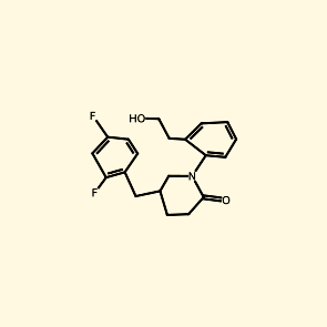 O=C1CCC(Cc2ccc(F)cc2F)CN1c1ccccc1CCO